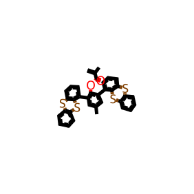 C=C(C)C(=O)Oc1c(-c2cccc3c2Sc2ccccc2S3)cc(C)cc1-c1cccc2c1Sc1ccccc1S2